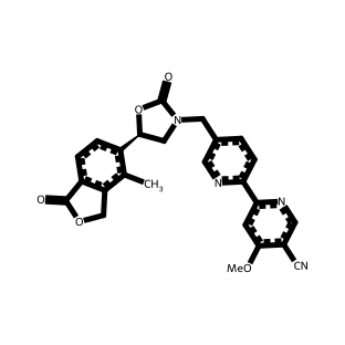 COc1cc(-c2ccc(CN3C[C@@H](c4ccc5c(c4C)COC5=O)OC3=O)cn2)ncc1C#N